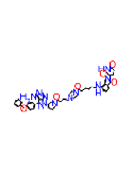 Nc1ncnc2c1c(-c1ccc(Oc3ccccc3)cc1)nn2C1CCCN(C(=O)CCCN2CCN(C(=O)CCCCCNc3cccc4c3CN(C3CCC(=O)NC3=O)C4=O)CC2)C1